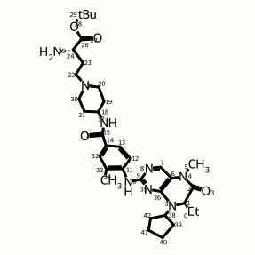 CC[C@@H]1C(=O)N(C)c2cnc(Nc3ccc(C(=O)NC4CCN(CC[C@H](N)C(=O)OC(C)(C)C)CC4)cc3C)nc2N1C1CCCC1